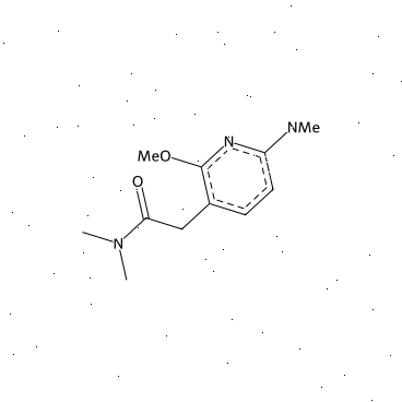 CNc1ccc(CC(=O)N(C)C)c(OC)n1